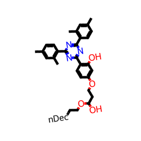 CCCCCCCCCCCCOC(O)CCOc1ccc(-c2nc(-c3ccc(C)cc3C)nc(-c3ccc(C)cc3C)n2)c(O)c1